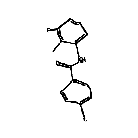 [CH2]c1ccc(C(=O)Nc2cccc(F)c2C)cc1